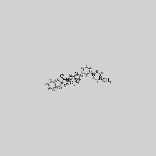 CN1CCN(c2cccc(-c3csc(CNC(=O)C4(CC(=O)O)Cc5ccccc5C4)n3)c2)CC1